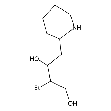 CCC(CO)C(O)CC1CCCCN1